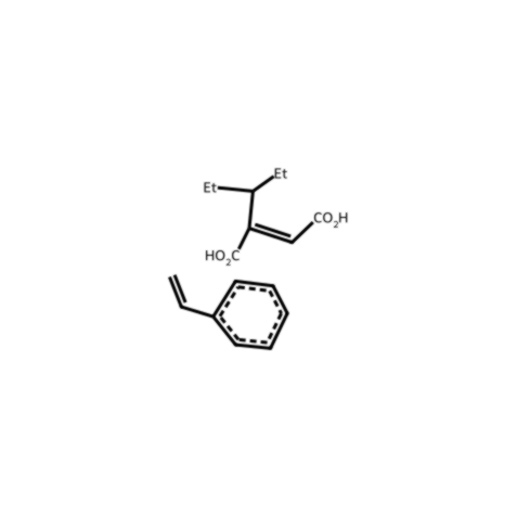 C=Cc1ccccc1.CCC(CC)/C(=C\C(=O)O)C(=O)O